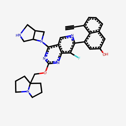 C#Cc1cccc2cc(O)cc(-c3ncc4c(N5CC6CNCC65)nc(OCC56CCCN5CCC6)nc4c3F)c12